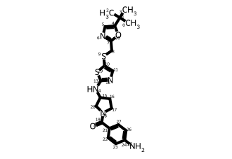 CC(C)(C)c1cnc(CSc2cnc(NC3CCN(C(=O)c4ccc(N)cc4)C3)s2)o1